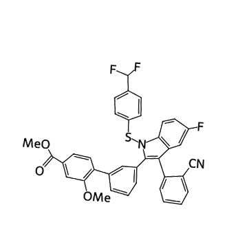 COC(=O)c1ccc(-c2cccc(-c3c(-c4ccccc4C#N)c4cc(F)ccc4n3Sc3ccc(C(F)F)cc3)c2)c(OC)c1